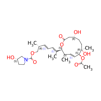 CC(=O)O[C@H]1/C=C/[C@H](C)[C@@H](/C(C)=C/C=C/[C@@H](C)COC(=O)N2CC[C@H](O)C2)OC(=O)C[C@H](O)CC[C@@]1(C)O